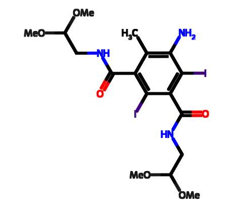 COC(CNC(=O)c1c(C)c(N)c(I)c(C(=O)NCC(OC)OC)c1I)OC